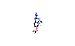 CC(=O)Oc1ccc2nc(C#N)nc(Cl)c2c1